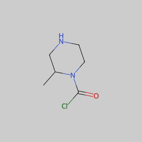 CC1CNCCN1C(=O)Cl